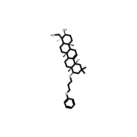 CC1(C)C[C@@H](OCCCOc2ccccc2)[C@]2(C)CCC3C(=CCC4[C@@]3(C)CCC3[C@]4(C)CC[C@H](O)[C@]3(C)CO)[C@@H]2C1